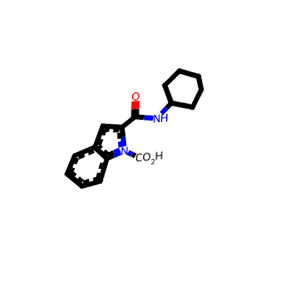 O=C(NC1CCCCC1)c1cc2ccccc2n1C(=O)O